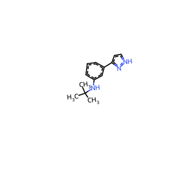 CC(C)(C)Nc1cccc(-c2cc[nH]n2)c1